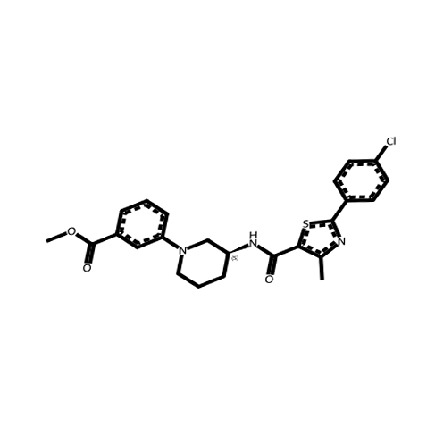 COC(=O)c1cccc(N2CCC[C@H](NC(=O)c3sc(-c4ccc(Cl)cc4)nc3C)C2)c1